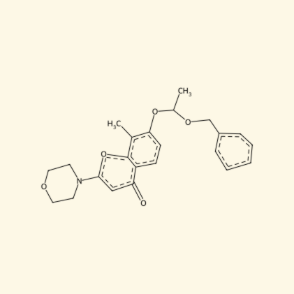 Cc1c(OC(C)OCc2ccccc2)ccc2c(=O)cc(N3CCOCC3)oc12